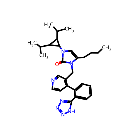 CCCCc1cn(C2C(C(C)C)C2C(C)C)c(=O)n1Cc1cnccc1-c1ccccc1-c1nnn[nH]1